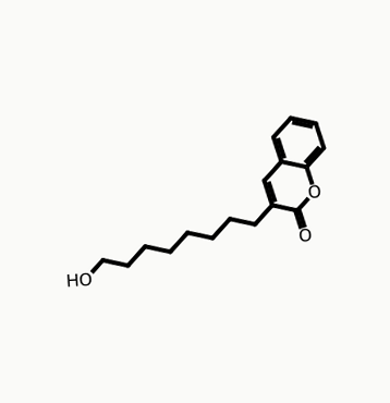 O=c1oc2ccccc2cc1CCCCCCCCO